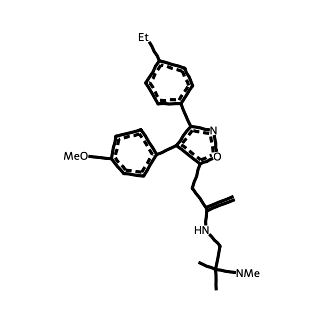 C=C(Cc1onc(-c2ccc(CC)cc2)c1-c1ccc(OC)cc1)NCC(C)(C)NC